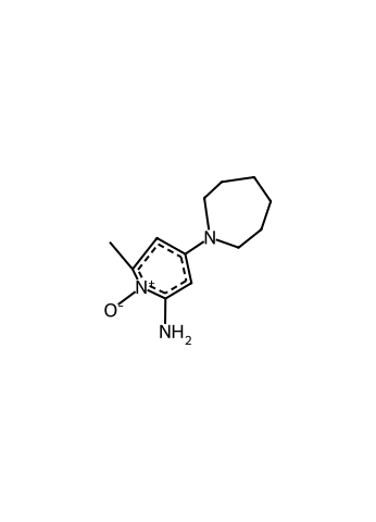 Cc1cc(N2CCCCCC2)cc(N)[n+]1[O-]